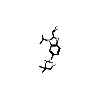 CC(C)N1c2cc(B3OCC(C)(C)O3)ccc2OC1C=O